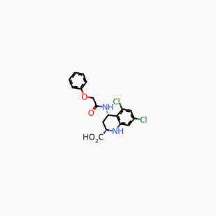 O=C(COc1ccccc1)N[C@H]1C[C@H](C(=O)O)Nc2cc(Cl)cc(Cl)c21